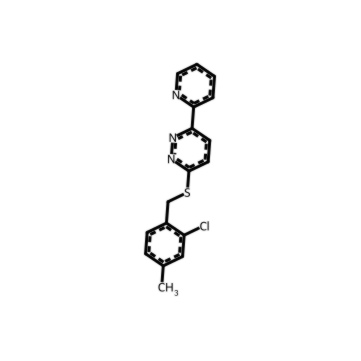 Cc1ccc(CSc2ccc(-c3ccccn3)nn2)c(Cl)c1